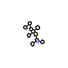 c1ccc(-c2cc(-c3ccc4c(-c5ccccc5)c5cc(-c6ccccc6-c6ccccc6)ccc5c(-c5ccccc5)c4c3)cc(-c3ccccc3)n2)cc1